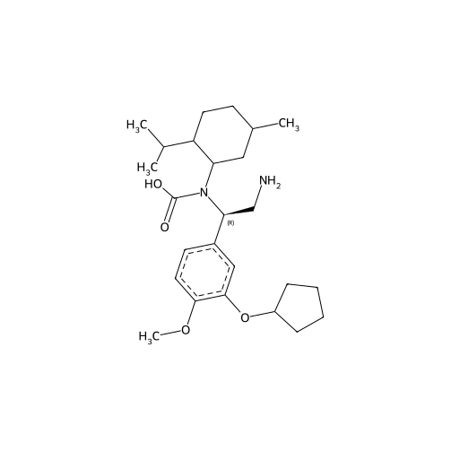 COc1ccc([C@H](CN)N(C(=O)O)C2CC(C)CCC2C(C)C)cc1OC1CCCC1